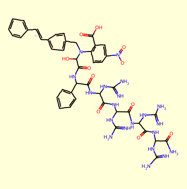 N=C(N)NC(NC(=O)C(NC(=N)N)NC(=O)C(NC(=N)N)NC(=O)C(NC(=N)N)NC(=O)C(NC(=O)C(O)N(Cc1ccc(/C=C/c2ccccc2)cc1)c1ccc([N+](=O)[O-])cc1C(=O)O)c1ccccc1)C(N)=O